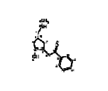 CNC[C@H]1C[C@@H](O)[C@H](SC(=O)c2ccccc2)C1